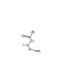 CCCOC(C)OC(=O)CC